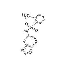 Cc1ccccc1S(=O)(=O)Nc1ccc2ocnc2c1